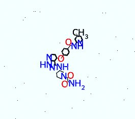 Cc1ccnc(NC(=O)c2ccc(Oc3ccnc4[nH]nc(NC5CCCN(C(=O)C(N)=O)C5)c34)cc2)c1